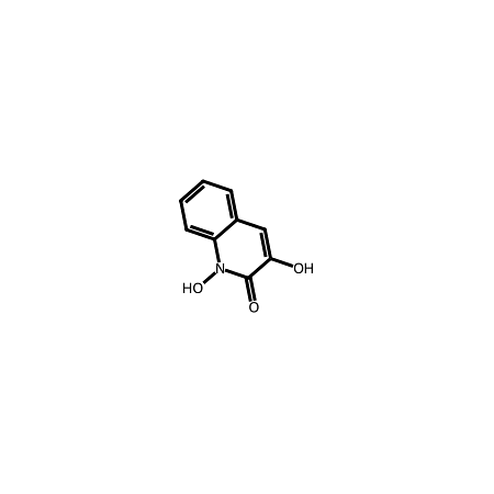 O=c1c(O)cc2ccccc2n1O